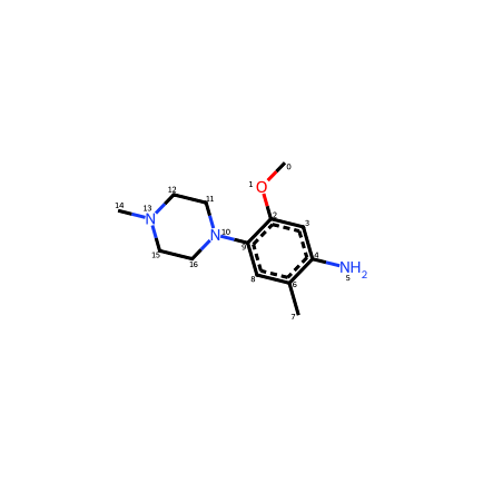 COc1cc(N)c(C)cc1N1CCN(C)CC1